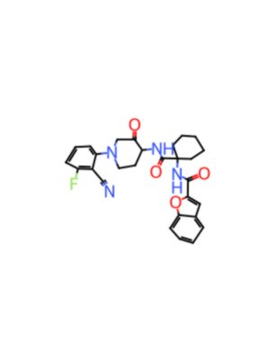 N#Cc1c(F)cccc1N1CCC(NC(=O)C2(NC(=O)c3cc4ccccc4o3)CCCCC2)C(=O)C1